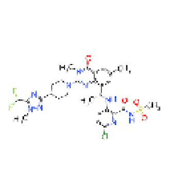 Cc1cc([C@@H](C)Nc2ccc(Cl)nc2C(=O)NS(C)(=O)=O)c2nc(N3CCC(c4nc(C(F)F)n(C)n4)CC3)n(C)c(=O)c2c1